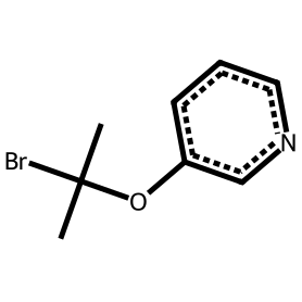 CC(C)(Br)Oc1cccnc1